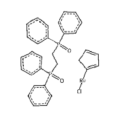 O=P(CCP(=O)(c1ccccc1)c1ccccc1)(c1ccccc1)c1ccccc1.[Cl][Ru][C]1=CC=CC1